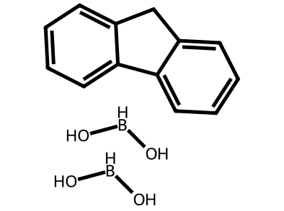 OBO.OBO.c1ccc2c(c1)Cc1ccccc1-2